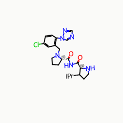 CC(C)C1CCN[C@@H]1C(=O)NC(=O)[C@@H]1CCCN1Cc1cc(Cl)ccc1-n1cncn1